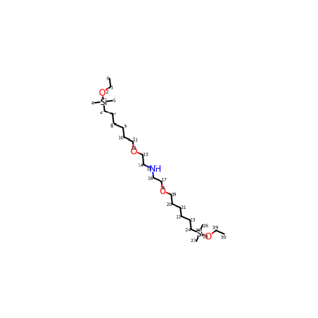 CCO[Si](C)(C)CCCCCCOCCNCCOCCCCCC[Si](C)(C)OCC